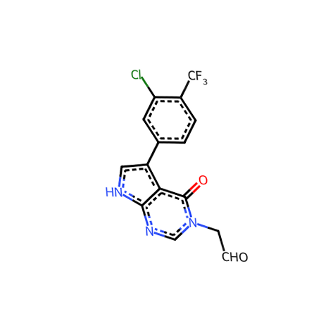 O=CCn1cnc2[nH]cc(-c3ccc(C(F)(F)F)c(Cl)c3)c2c1=O